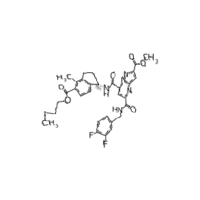 CCCCOC(=O)c1ccc2c(c1C)CC[C@@H]2NC(=O)c1cc(C(=O)NCc2ccc(F)c(F)c2)nc2cc(C(=O)OC)nn12